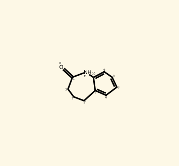 O=C1CC[C]c2ccccc2N1